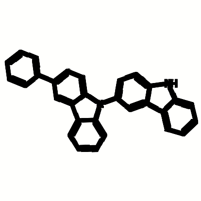 c1ccc(-c2ccc3c(c2)c2ccccc2n3-c2ccc3[nH]c4ccccc4c3c2)cc1